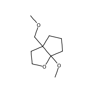 COCC12CCCC1(OC)OCC2